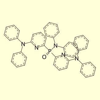 O=P(c1cccc(N(c2ccccc2)c2ccccc2)n1)(c1cccc(N(c2ccccc2)c2ccccc2)n1)N(c1ccccc1)c1ccccc1